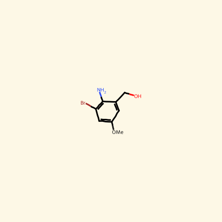 COc1cc(Br)c(N)c(CO)c1